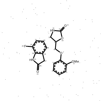 COc1ccccc1OCC1CNC(=O)O1.O=C1Cc2cccc(F)c2N1